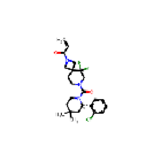 C=CC(=O)N1CC2(CCN(C(=O)N3CCC(C)(C)C[C@H]3c3ccccc3Cl)CC2(F)F)C1